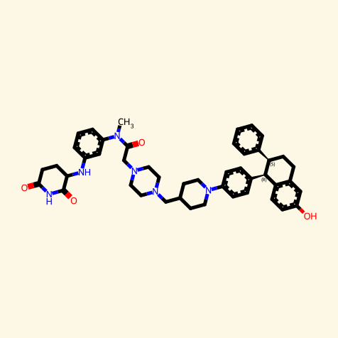 CN(C(=O)CN1CCN(CC2CCN(c3ccc([C@@H]4c5ccc(O)cc5CC[C@@H]4c4ccccc4)cc3)CC2)CC1)c1cccc(NC2CCC(=O)NC2=O)c1